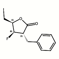 O=C1O[C@H](CI)[C@H](F)[C@H]1Cc1ccccc1